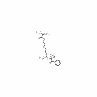 C=C(C)C(=O)OCCOCCOC(C)OC(C)(CI)C(=O)c1ccccc1